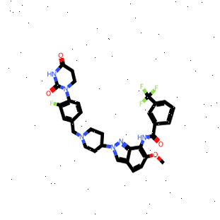 COc1ccc2cn(C3CCN(Cc4ccc(N5CCC(=O)NC5=O)c(F)c4)CC3)nc2c1NC(=O)c1cccc(C(F)(F)F)c1